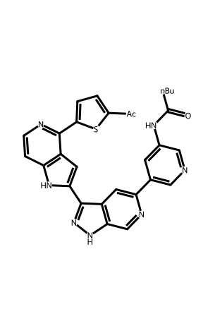 CCCCC(=O)Nc1cncc(-c2cc3c(-c4cc5c(-c6ccc(C(C)=O)s6)nccc5[nH]4)n[nH]c3cn2)c1